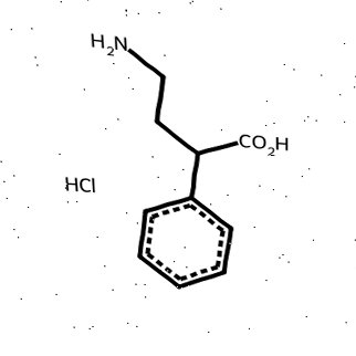 Cl.NCCC(C(=O)O)c1ccccc1